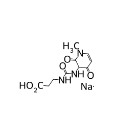 CN1C=CC(=O)C(NC(=O)NCCC(=O)O)C1=O.[Na]